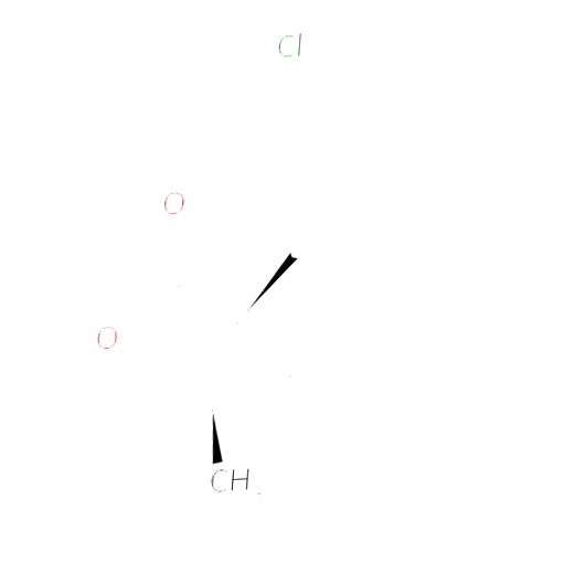 C[C@@]12COC(=O)[C@]1(c1cccc(Cl)c1)C2